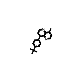 Cc1ccnc2c(-c3ccc(C(C)(C)C)cc3)ccnc12